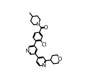 CC1CCN(C(=O)c2ccc(-c3cncc(-c4ccnc(C5CCOCC5)c4)c3)c(Cl)c2)CC1